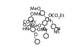 CCOC(=O)Oc1[nH]c2cc(OCc3ccccc3)c(OC)cc2c1-c1ccc(OC)cc1.CCOC(=O)Oc1c(-c2ccc(OC)cc2)c2cc(OC)c(OCc3ccccc3)cc2n1Cc1ccc2nsnc2c1